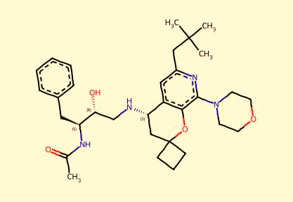 CC(=O)N[C@@H](Cc1ccccc1)[C@H](O)CN[C@H]1CC2(CCC2)Oc2c1cc(CC(C)(C)C)nc2N1CCOCC1